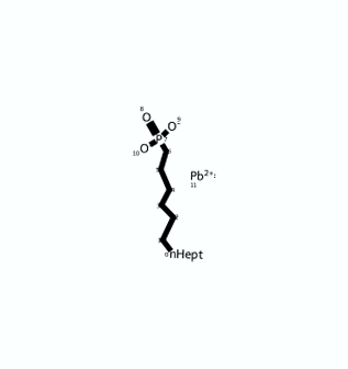 CCCCCCCCCCCCCP(=O)([O-])[O-].[Pb+2]